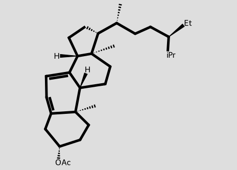 CC[C@H](CC[C@@H](C)[C@H]1CC[C@H]2C3=CC=C4C[C@@H](OC(C)=O)CC[C@]4(C)[C@H]3CC[C@]12C)C(C)C